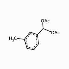 CC(=O)OC(OC(C)=O)c1cccc(C)c1